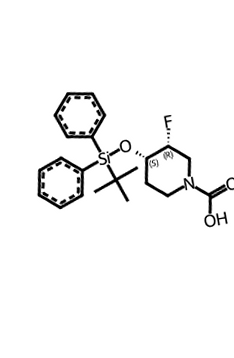 CC(C)(C)[Si](O[C@H]1CCN(C(=O)O)C[C@H]1F)(c1ccccc1)c1ccccc1